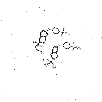 CC(F)(F)[C@H]1CC[C@@H](Oc2ccc3cc([C@]4(C)COC(=O)N4)ccc3c2)CC1.CC(F)(F)[C@H]1CC[C@H](Oc2ccc3cc([C@@](C)(N)CO)ccc3c2)CC1